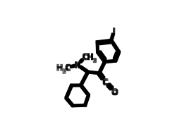 CN(C)C(C(=C=O)c1ccc(I)cc1)C1CCCCC1